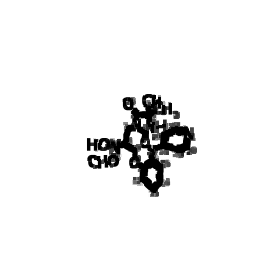 CC1(C)NC(=O)N(CC(COc2ccccc2Sc2ccncc2)N(O)C=O)C1=O